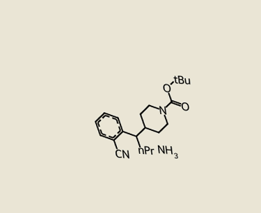 CCCC(c1ccccc1C#N)C1CCN(C(=O)OC(C)(C)C)CC1.N